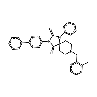 Cc1cccnc1CN1CCC2(CC1)C(=O)N(c1ccc(-c3ccccc3)cc1)C(=O)N2c1ccccc1